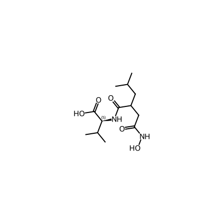 CC(C)CC(CC(=O)NO)C(=O)N[C@H](C(=O)O)C(C)C